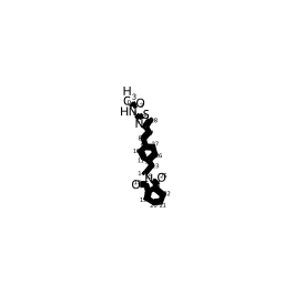 CC(=O)Nc1nc(/C=C/c2ccc(CCN3C(=O)c4ccccc4C3=O)cc2)cs1